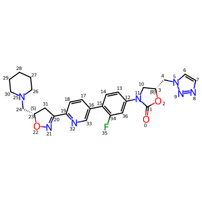 O=C1O[C@@H](Cn2ccnn2)CN1c1ccc(-c2ccc(C3=NO[C@H](CN4CCCCC4)C3)nc2)c(F)c1